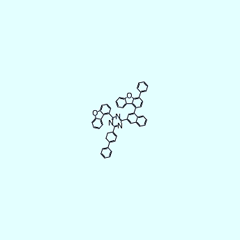 C1=C(c2ccccc2)CCC(c2nc(-c3cc(-c4ccc(-c5ccccc5)c5oc6ccccc6c45)c4ccccc4c3)nc(-c3cccc4oc5ccccc5c34)n2)=C1